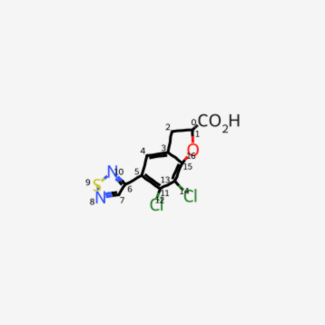 O=C(O)C1Cc2cc(-c3cnsn3)c(Cl)c(Cl)c2O1